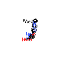 COc1ccccc1N1CCN(c2ccc(C3Nc4cc(C(=O)NO)ccc4O3)cn2)CC1